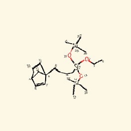 CCO[Si](CCC12C=CC(CC1)C2)(O[Si](C)(C)C)O[Si](C)(C)C